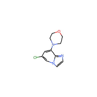 Clc1cc(N2CCOCC2)c2nccn2c1